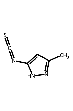 Cc1cc(N=C=S)[nH]n1